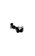 O=C(c1nccs1)N1CCN(C2CC(=O)N(c3cccc(-c4ccc(F)c(C(F)(F)F)c4)c3)C2)CC1